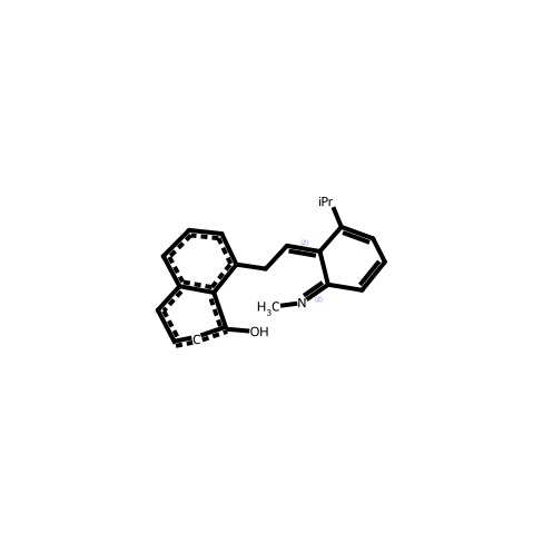 C/N=C1/C=CC=C(C(C)C)/C1=C/Cc1cccc2cccc(O)c12